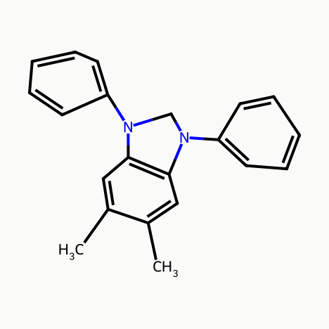 Cc1cc2c(cc1C)N(c1ccccc1)CN2c1ccccc1